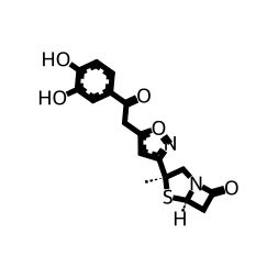 C[C@]1(c2cc(CC(=O)c3ccc(O)c(O)c3)on2)CN2C(=O)C[C@H]2S1